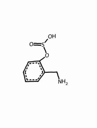 NCc1ccccc1OS(=O)O